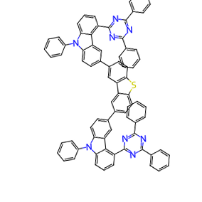 c1ccc(-c2nc(-c3ccccc3)nc(-c3cccc4c3c3cc(-c5ccc6sc7ccc(-c8ccc9c(c8)c8c(-c%10nc(-c%11ccccc%11)nc(-c%11ccccc%11)n%10)cccc8n9-c8ccccc8)cc7c6c5)ccc3n4-c3ccccc3)n2)cc1